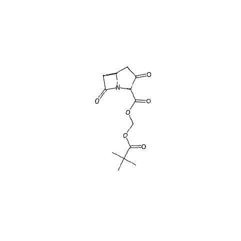 CC(C)(C)C(=O)OCOC(=O)C1C(=O)CC2CC(=O)N21